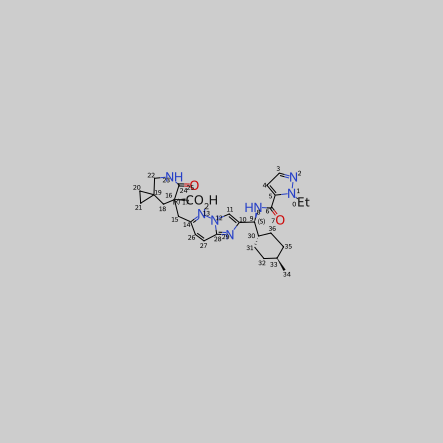 CCn1nccc1C(=O)N[C@H](c1cn2nc(C[C@]3(C(=O)O)CC4(CC4)CNC3=O)ccc2n1)[C@H]1CC[C@H](C)CC1